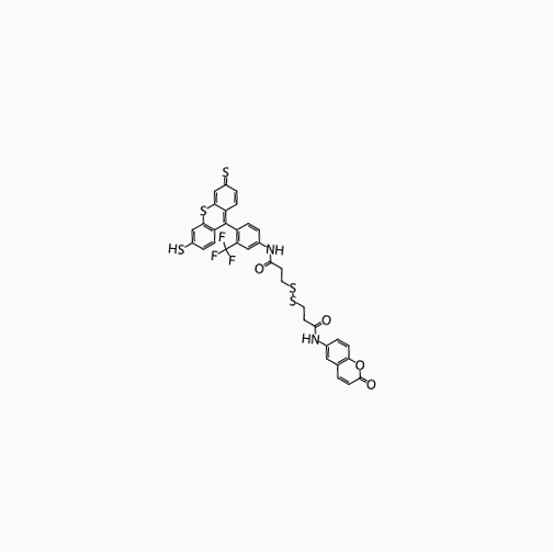 O=C(CCSSCCC(=O)Nc1ccc2oc(=O)ccc2c1)Nc1ccc(-c2c3ccc(=S)cc-3sc3cc(S)ccc23)c(C(F)(F)F)c1